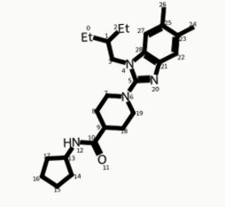 CCC(CC)Cn1c(N2CCC(C(=O)NC3CCCC3)CC2)nc2cc(C)c(C)cc21